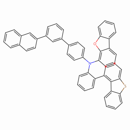 c1cc(-c2ccc(N(c3ccccc3-c3cccc4sc5ccccc5c34)c3cccc4c3oc3ccccc34)cc2)cc(-c2ccc3ccccc3c2)c1